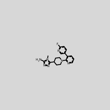 Cn1c(N)nnc1C1CCN(c2ncccc2-c2ccc(F)nc2)CC1